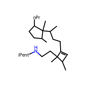 CCCC(C)NCCC1(C)C(CCC(C)C2(C)C(C)CCC2CCC)=CC1C